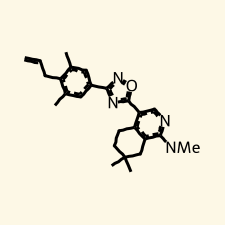 C=CCc1c(C)cc(-c2noc(-c3cnc(NC)c4c3CCC(C)(C)C4)n2)cc1C